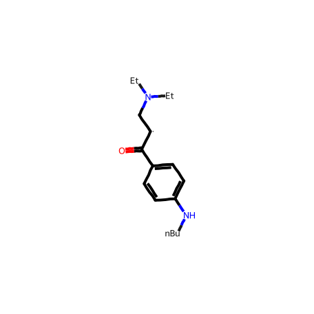 CCCCNc1ccc(C(=O)[CH]CN(CC)CC)cc1